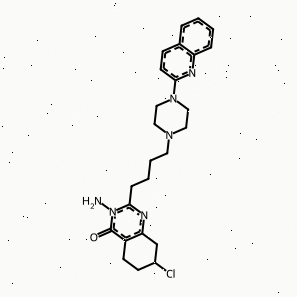 Nn1c(CCCCN2CCN(c3ccc4ccccc4n3)CC2)nc2c(c1=O)CCC(Cl)C2